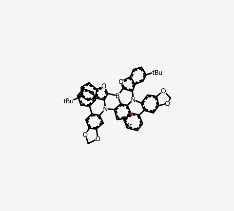 CC(C)c1cc2c3c(c1)N(c1cc4c(cc1-c1ccccc1)OCO4)c1c(oc4ccc(C(C)(C)C)cc14)B3c1oc3ccc(C(C)(C)C)cc3c1N2c1cc2c(cc1-c1ccccc1)OCO2